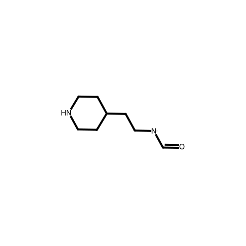 O=C[N]CCC1CCNCC1